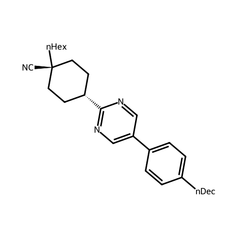 CCCCCCCCCCc1ccc(-c2cnc([C@H]3CC[C@@](C#N)(CCCCCC)CC3)nc2)cc1